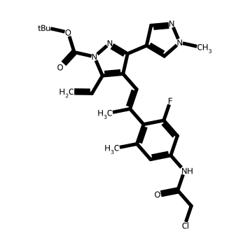 C=Cc1c(/C=C(\C)c2c(C)cc(NC(=O)CCl)cc2F)c(-c2cnn(C)c2)nn1C(=O)OC(C)(C)C